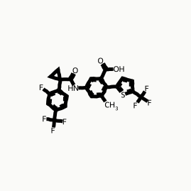 Cc1cc(NC(=O)C2(c3ccc(C(F)(F)F)cc3F)CC2)cc(C(=O)O)c1-c1ccc(C(F)(F)F)s1